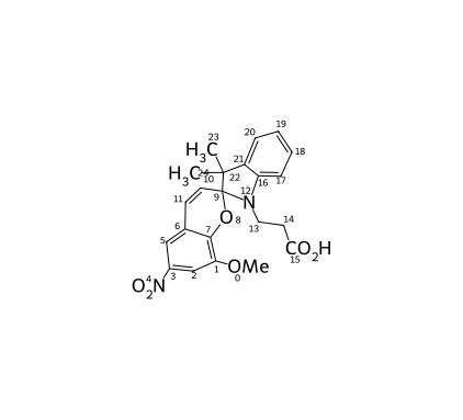 COc1cc([N+](=O)[O-])cc2c1OC1(C=C2)N(CCC(=O)O)c2ccccc2C1(C)C